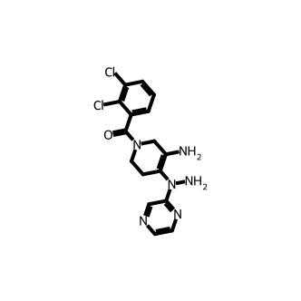 NC1=C(N(N)c2cnccn2)CCN(C(=O)c2cccc(Cl)c2Cl)C1